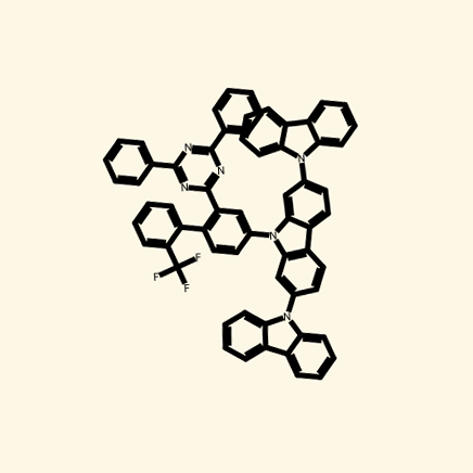 FC(F)(F)c1ccccc1-c1ccc(-n2c3cc(-n4c5ccccc5c5ccccc54)ccc3c3ccc(-n4c5ccccc5c5ccccc54)cc32)cc1-c1nc(-c2ccccc2)nc(-c2ccccc2)n1